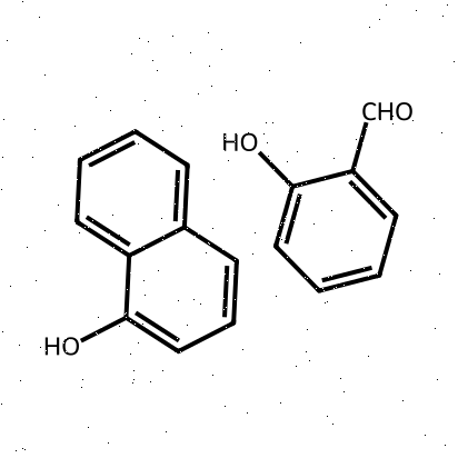 O=Cc1ccccc1O.Oc1cccc2ccccc12